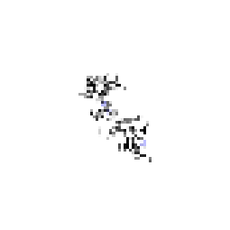 C[C@@H](O)/C=C\C(=O)NC1C[C@H](C)[C@H](C/C=C(/C=C/[C@H]2OC(C)(C)C[C@@]3(CO3)[C@@H]2O)C(F)(F)F)O[C@@H]1C